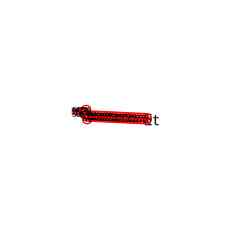 CCOCOCOCOCOCOCOCOCOCOCOCOCOCOCOCOCOCOCOCOC(=O)CCOC(=O)CCCc1ccccc1